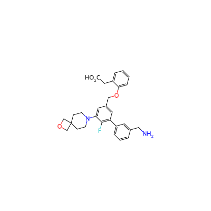 NCc1cccc(-c2cc(COc3ccccc3CC(=O)O)cc(N3CCC4(CC3)COC4)c2F)c1